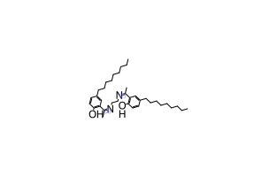 CCCCCCCCCc1ccc(O)c(/C(C)=N\CC/N=C(/C)c2cc(CCCCCCCCC)ccc2O)c1